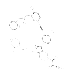 C[C@H]1COCCN1CCCn1nc(-c2ccc(Cl)c(C#Cc3ccc(Cl)c(CNCc4ccccn4)c3)c2)c2c1CCN(C(=O)C(N)=O)C2